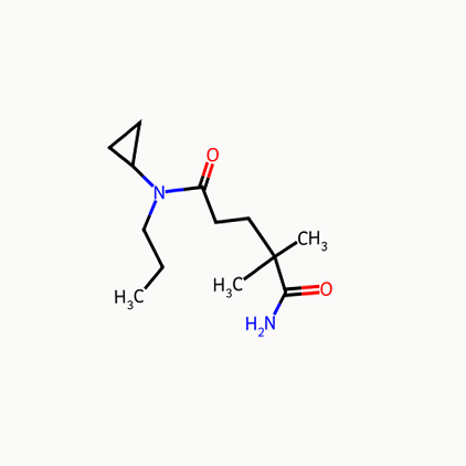 CCCN(C(=O)CCC(C)(C)C(N)=O)C1CC1